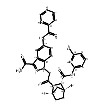 NC(=O)c1nn(CC(=O)N2[C@@H]3CC[C@@H](C3)[C@H]2C(=O)Nc2cccc(Cl)n2)c2ccc(NC(=O)c3ccncn3)cc12